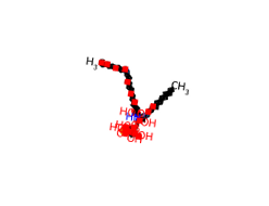 CCCCCCCC/C=C\CCCCCCCCCCCCC(O)C(=O)N[C@@H](CO[C@@H]1O[C@H](CO)[C@H](O)C(OS(=O)(=O)O)C1O)[C@H](O)/C=C/CCCCCCCCCCCCC